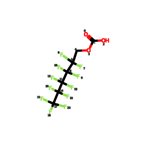 O=C(O)OCC(F)(F)C(F)(F)C(F)(F)C(F)(F)C(F)(F)F